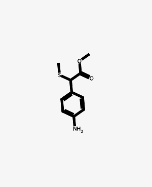 COC(=O)C(SC)c1ccc(N)cc1